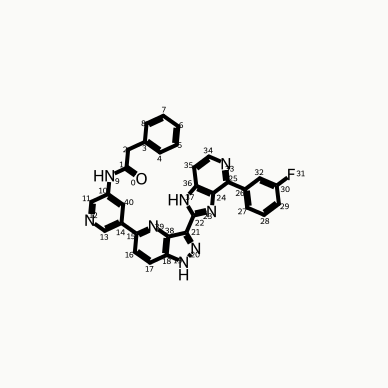 O=C(Cc1ccccc1)Nc1cncc(-c2ccc3[nH]nc(-c4nc5c(-c6cccc(F)c6)nccc5[nH]4)c3n2)c1